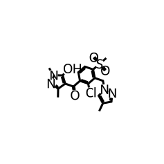 Cc1cnn(Cc2c(S(C)(=O)=O)ccc(C(=O)c3c(C)nn(C)c3O)c2Cl)c1